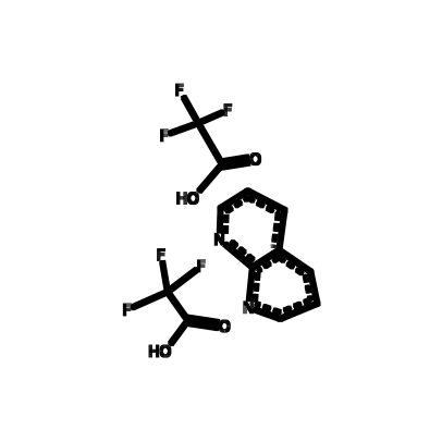 O=C(O)C(F)(F)F.O=C(O)C(F)(F)F.c1cnc2ncccc2c1